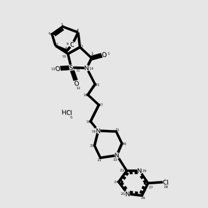 Cl.O=C1C2C3C=CC(CC3)C2S(=O)(=O)N1CCCCN1CCN(c2cncc(Cl)n2)CC1